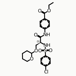 CCOC(=O)c1ccc(NC(=O)[C@H](COC2CCCCO2)NS(=O)(=O)c2ccc(Cl)cc2)cc1